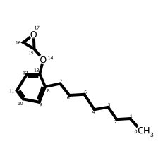 CCCCCCCCc1ccccc1OC1CO1